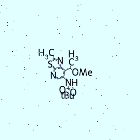 COC(C)c1c(NC(=O)OC(C)(C)C)cnc2sc(C)nc12